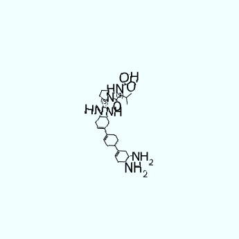 COC(O)N[C@H](C(=O)N1CCC[C@H]1C1NC2CC=C(C3=CCC(C4=CCC(N)C(N)C4)CC3)CC2N1)C(C)C